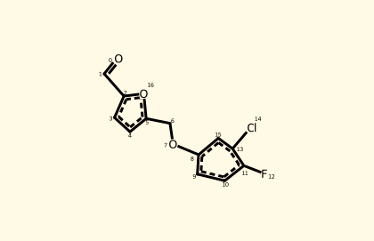 O=Cc1ccc(COc2ccc(F)c(Cl)c2)o1